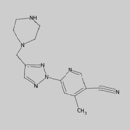 Cc1cc(-n2ncc(CN3CCNCC3)n2)ncc1C#N